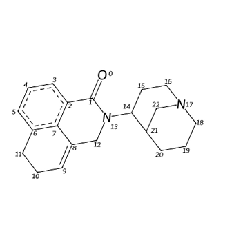 O=C1c2cccc3c2C(=CCC3)CN1C1CCN2CCCC1C2